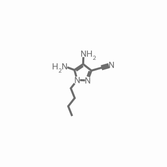 CCCCn1nc(C#N)c(N)c1N